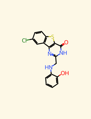 O=c1[nH]c(CNc2ccccc2O)nc2c1sc1ccc(Cl)cc12